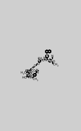 C=CC(=O)N1CCN(c2nc(OC[C@@H]3C[C@@H](OCCOCCOCC(=O)NC(C(=O)N4C[C@H](O)C[C@H]4C(=O)NC(C)c4ccc(-c5scnc5C)cc4)C(C)(C)C)CN3C)nc3c2CCN(c2cccc4ccccc24)C3)C[C@@H]1CC#N